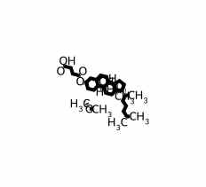 CC(C)CCCC(C)[C@H]1CC[C@H]2[C@@H]3CC=C4C[C@@H](OC(=O)CCC(=O)O)CC[C@]4(C)[C@H]3CC[C@]12C.COC